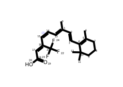 CC(C=CC1=C(C)CCCC1(C)C)=C/C=C\C(=CC(=O)O)C(F)(F)F